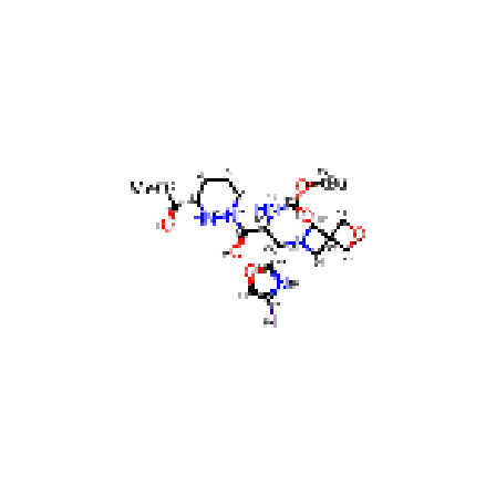 COC(=O)[C@@H]1CCCN(C(=O)[C@@H](NC(=O)OC(C)(C)C)[C@@H](c2nc(I)co2)N2CC3(COC3)C2)N1